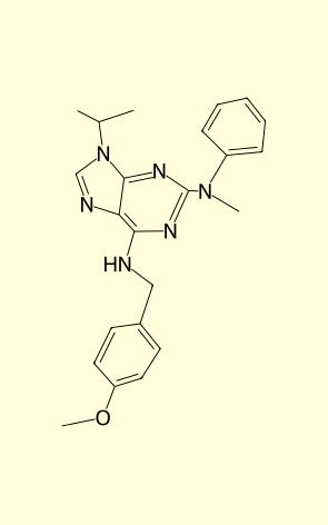 COc1ccc(CNc2nc(N(C)c3ccccc3)nc3c2ncn3C(C)C)cc1